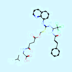 CC(C)C[C@H](NC(=O)CCC(=O)OCS/C(=N/c1cccc2cccnc12)NC(NC(=O)/C=C/c1ccccc1)C(Cl)(Cl)Cl)C(=O)O